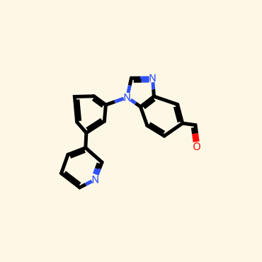 O=Cc1ccc2c(c1)ncn2-c1cccc(-c2cccnc2)c1